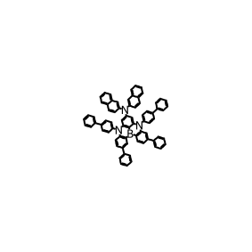 c1ccc(-c2ccc(N3c4ccc(-c5ccccc5)cc4B4c5ccc(-c6ccccc6)cc5N(c5ccc(-c6ccccc6)cc5)c5cc(N(c6ccc7ccccc7c6)c6ccc7ccccc7c6)cc3c54)cc2)cc1